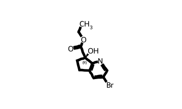 CCOC(=O)[C@@]1(O)CCc2cc(Br)cnc21